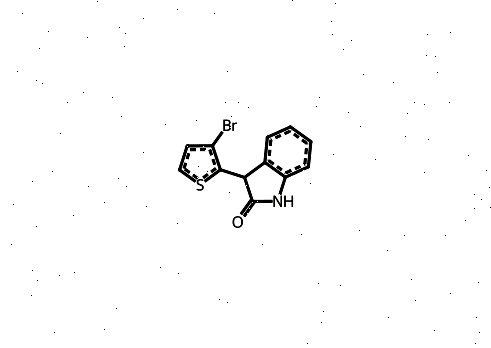 O=C1Nc2ccccc2C1c1sccc1Br